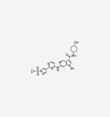 CC(C)n1cc(C(=O)NC2CCC(O)CC2)c2cnc(Nc3ccnc(-c4cnn(S(=O)(=O)C5CC5)c4)n3)cc21